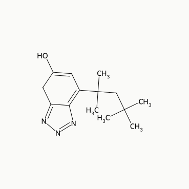 CC(C)(C)CC(C)(C)C1=C2N=NN=C2CC(O)=C1